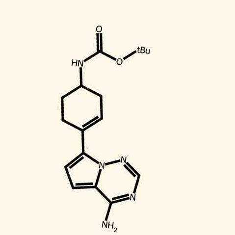 CC(C)(C)OC(=O)NC1CC=C(c2ccc3c(N)ncnn23)CC1